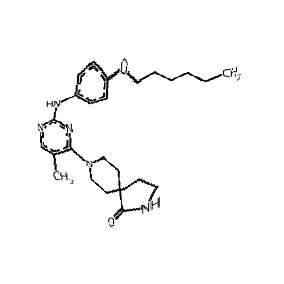 CCCCCCOc1ccc(Nc2ncc(C)c(N3CCC4(CCNC4=O)CC3)n2)cc1